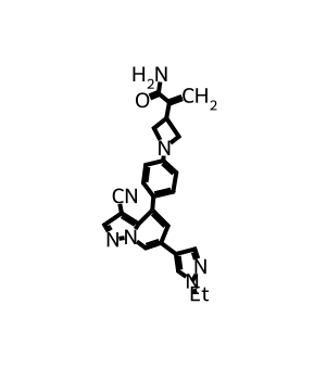 C=C(C(N)=O)C1CN(c2ccc(-c3cc(-c4cnn(CC)c4)cn4ncc(C#N)c34)cc2)C1